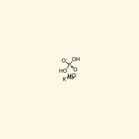 O=P([O-])(O)O.[K+].[Na+].[OH-]